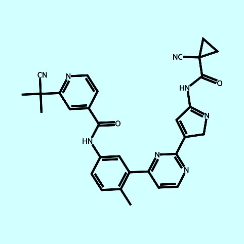 Cc1ccc(NC(=O)c2ccnc(C(C)(C)C#N)c2)cc1-c1ccnc(C2=CC(NC(=O)C3(C#N)CC3)=NC2)n1